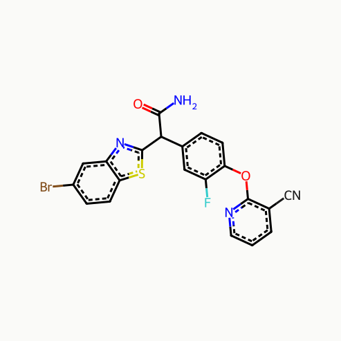 N#Cc1cccnc1Oc1ccc(C(C(N)=O)c2nc3cc(Br)ccc3s2)cc1F